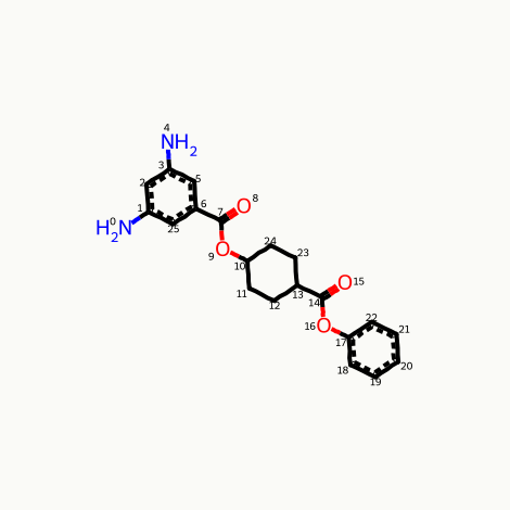 Nc1cc(N)cc(C(=O)OC2CCC(C(=O)Oc3ccccc3)CC2)c1